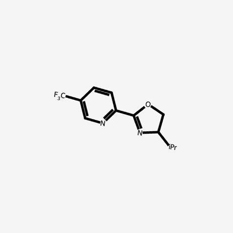 CC(C)C1COC(c2ccc(C(F)(F)F)cn2)=N1